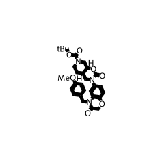 COc1ccc(CN2C(=O)COc3ccc(N4C[C@H]5CCN(C(=O)OC(C)(C)C)C[C@@H]5OC4=O)cc32)cc1